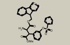 COC(=O)C(c1cccc(OS(=O)(=O)c2ccccc2)c1)C(N)C(=O)OCC1c2ccccc2-c2ccccc21